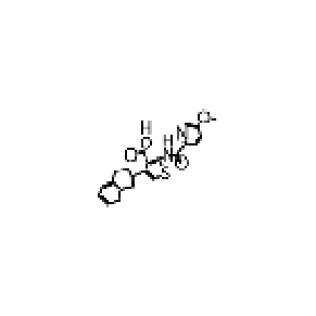 COc1ccc(C(=O)Nc2scc(C3CCc4ccccc4C3)c2C(=O)O)nc1